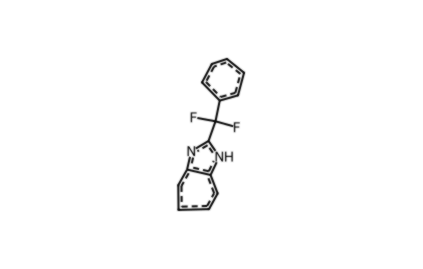 FC(F)(c1ccccc1)c1nc2ccccc2[nH]1